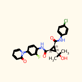 CC(C)(O)[C@H]1[C@H](C(=O)Nc2ccc(Cl)cc2)[C@@H]1C(=O)Nc1ccc(-n2ccccc2=O)cc1F